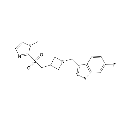 Cn1ccnc1S(=O)(=O)CC1CN(Cc2nsc3cc(F)ccc23)C1